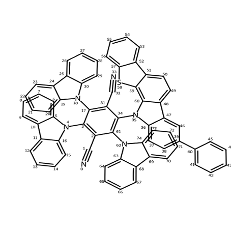 N#Cc1c(-n2c3ccccc3c3ccccc32)c(-n2c3ccccc3c3ccccc32)c(C#N)c(-n2c3ccc(-c4ccccc4)cc3c3ccc4c5ccccc5sc4c32)c1-n1c2ccccc2c2ccccc21